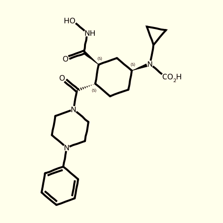 O=C(NO)[C@H]1C[C@@H](N(C(=O)O)C2CC2)CC[C@@H]1C(=O)N1CCN(c2ccccc2)CC1